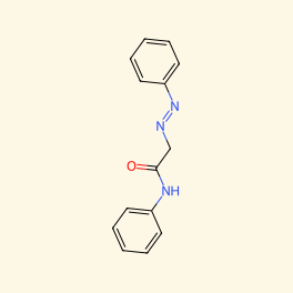 O=C(C/N=N/c1ccccc1)Nc1ccccc1